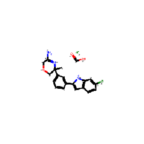 CC1(c2cccc(-c3cc4ccc(Cl)cc4[nH]3)c2)COCC(N)=N1.Cl.O=CO